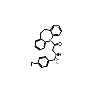 C[C@@H](NCC(=O)N1c2ccccc2CCc2ccccc21)c1ccc(F)cc1